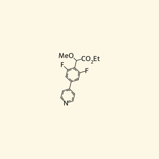 CCOC(=O)C(OC)c1c(F)cc(-c2ccncc2)cc1F